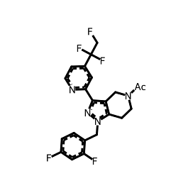 CC(=O)N1CCc2c(c(-c3cc(C(F)(F)CF)ccn3)nn2Cc2ccc(F)cc2F)C1